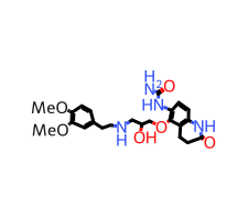 COc1ccc(CCNCC(O)COc2c(NC(N)=O)ccc3c2CCC(=O)N3)cc1OC